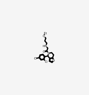 CCOCCCNCC(=O)N1CCc2sccc2C1c1ccc(Cl)cc1Cl